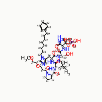 COCCOCCC(=O)N1CCC[C@H]1C(=O)N[C@@H](CC(C)C)C(=O)N[C@@H](Cc1cncn1CCCCCCCCc1ccccc1)C(=O)N[C@@H](CO)C(=O)N[C@H](C(N)=O)[C@@H](C)OP(=O)(O)O